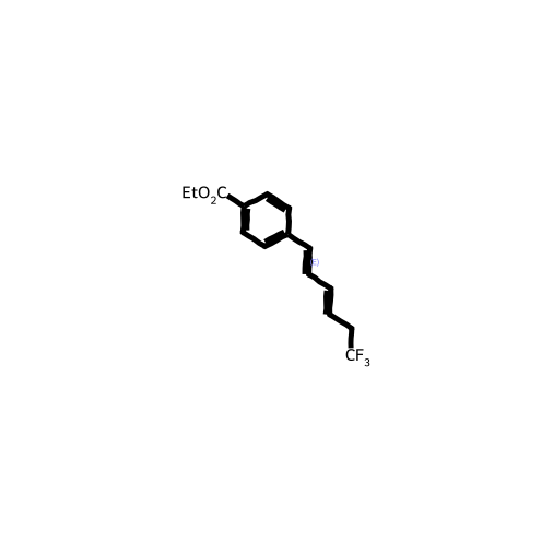 CCOC(=O)c1ccc(/C=C/C=CCC(F)(F)F)cc1